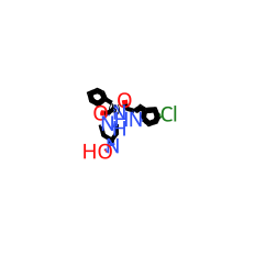 O=C(N[C@@H](Cc1ccccc1)C(=O)N1CCC(=NO)CC1)c1cc2cc(Cl)ccc2[nH]1